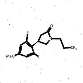 COc1cc(F)c([C@H]2CC(=O)N(CCC(F)(F)F)C2)c(F)c1